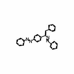 C(=C(/N=N/c1ccccc1)c1ccc(/N=N/c2ccccc2)cc1)/c1ccccc1